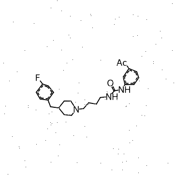 CC(=O)c1cccc(NC(=O)NCCCCN2CCC(Cc3ccc(F)cc3)CC2)c1